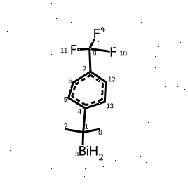 C[C](C)([BiH2])c1ccc(C(F)(F)F)cc1